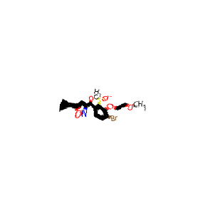 COCCOc1c(Br)ccc(C(=O)c2cc(C3CC3)on2)c1[S+](C)[O-]